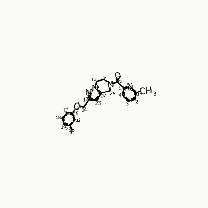 Cc1cccc(C(=O)N2CCn3nc(COc4cccc(F)c4)cc3C2)n1